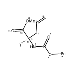 C=CC[C@@](C)(NC(=O)OC(C)(C)C)C(=O)OC